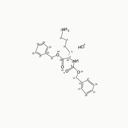 Cl.NCCCC[C@H](NC(=O)OCc1ccccc1)C(=O)OCc1ccccc1